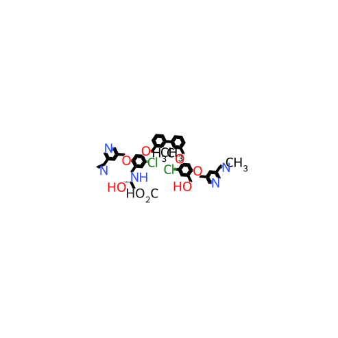 C/N=C/c1cncc(COc2cc(OCc3cccc(-c4cccc(COc5cc(OCc6cncc(C7=NC7)c6)c(CN[C@@H](CO)CC(=O)O)cc5Cl)c4C)c3C)c(Cl)cc2CO)c1